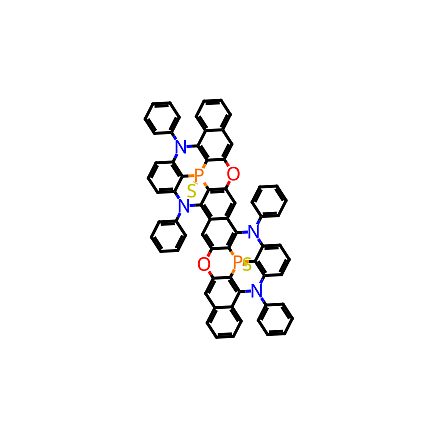 S=P12c3c4cccc3N(c3ccccc3)c3c1c(cc1c5c6c(cc31)Oc1cc3ccccc3c3c1P6(=S)c1c(cccc1N5c1ccccc1)N3c1ccccc1)Oc1cc3ccccc3c(c12)N4c1ccccc1